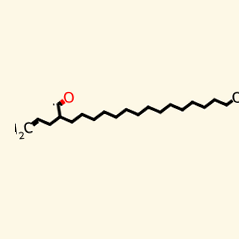 C=CCC([C]=O)CCCCCCCCCCCCCCCC